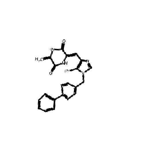 C=c1[nH]c(=O)c(=Cc2ncn(Cc3ccc(-c4ccccc4)cc3)c2C(C)C)[nH]c1=O